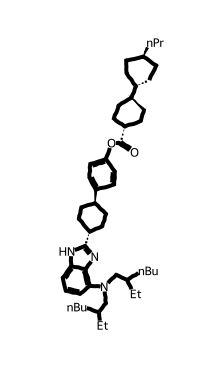 CCCCC(CC)CN(CC(CC)CCCC)c1cccc2[nH]c([C@H]3CC[C@H](c4ccc(OC(=O)[C@H]5CC[C@H]([C@H]6CC[C@H](CCC)CC6)CC5)cc4)CC3)nc12